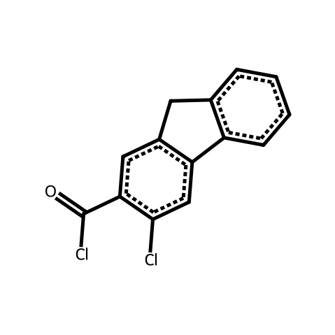 O=C(Cl)c1cc2c(cc1Cl)-c1ccccc1C2